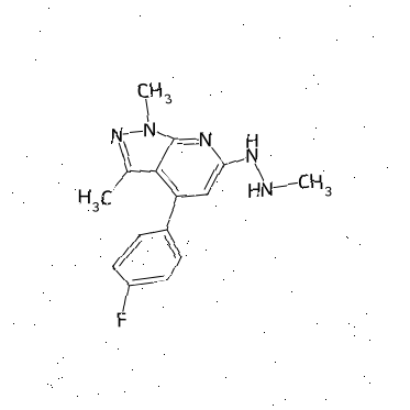 CNNc1cc(-c2ccc(F)cc2)c2c(C)nn(C)c2n1